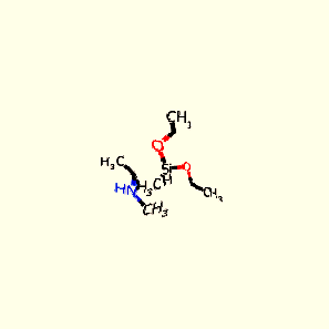 CCNC.CCO[SiH](C)OCC